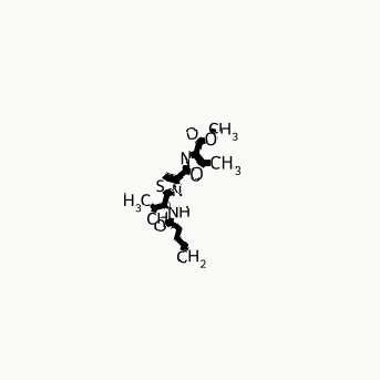 C=CCCC(=O)N[C@H](c1nc(-c2nc(C(=O)OC)c(C)o2)cs1)C(C)C